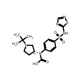 CC(C)(C)N1CC[C@@H](N(C(=O)O)c2ccc(S(=O)(=O)Nc3ncns3)cc2)C1